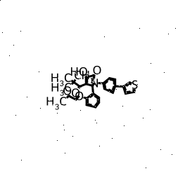 CC(=O)COc1ccccc1C1C(C(=O)C(C)(C)C)=C(O)C(=O)N1c1ccc(-c2ccsc2)cc1